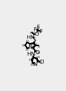 Cc1c(SNC(C)OC(F)(F)F)c2n(c1C(=O)Nc1ccnc(Cl)c1)CCC2